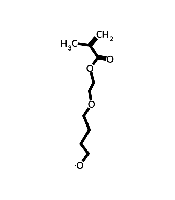 C=C(C)C(=O)OCCOCCCC[O]